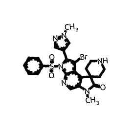 CN1C(=O)C2(CCNCC2)c2c1cnc1c2c(Br)c(-c2cnn(C)c2)n1S(=O)(=O)c1ccccc1